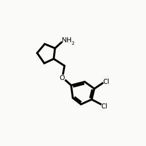 NC1CCCC1COc1ccc(Cl)c(Cl)c1